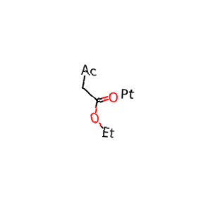 CCOC(=O)CC(C)=O.[Pt]